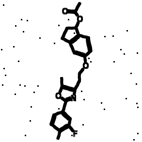 CC(=O)OC1CCc2cc(OCCc3nc(-c4ccc(C)c(F)c4)oc3C)ccc21